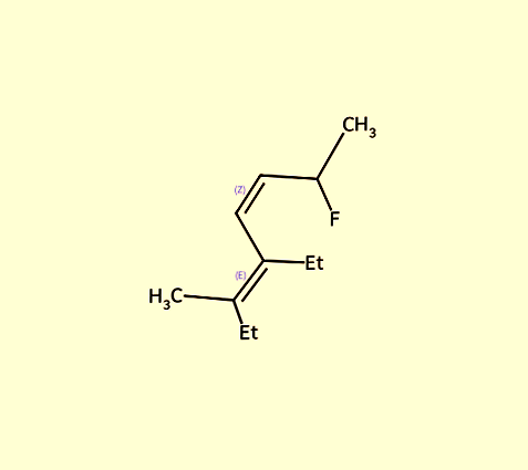 CC/C(C)=C(/C=C\C(C)F)CC